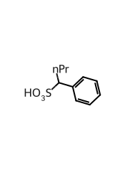 [CH2]CCC(c1ccccc1)S(=O)(=O)O